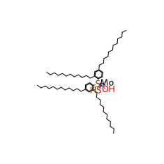 CCCCCCCCCCCCc1ccc(S(c2ccc(CCCCCCCCCCCC)cc2CCCCCCCCCCCC)=[P](O)(S)[Mo])c(CCCCCCCCCCCC)c1